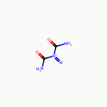 [N-]=[N+](C(N)=O)C(N)=O